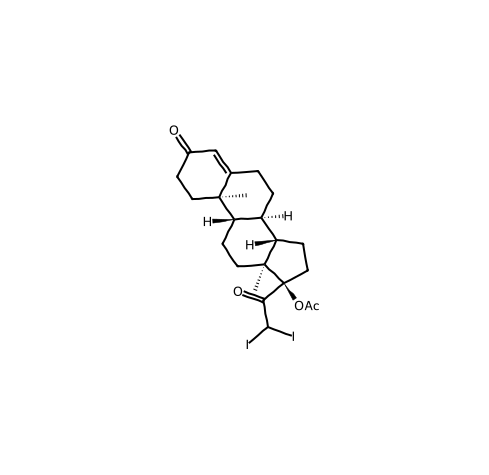 CC(=O)O[C@]1(C(=O)C(I)I)CC[C@H]2[C@@H]3CCC4=CC(=O)CC[C@]4(C)[C@H]3CC[C@@]21C